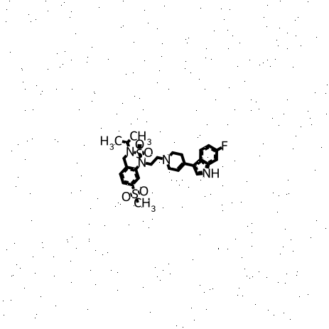 CC(C)N1Cc2ccc(S(C)(=O)=O)cc2N(CCN2CC=C(c3c[nH]c4cc(F)ccc34)CC2)S1(=O)=O